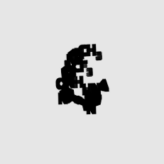 CN1CCN(Cc2ccc(NC(=O)c3cncc(C#Cc4cnc5ccc(NC6CC6)nn45)c3)cc2C(F)(F)F)CC1